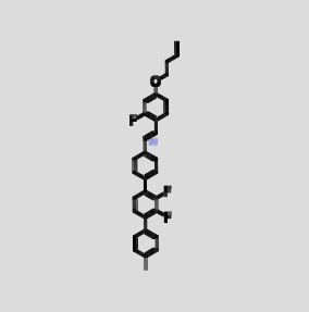 C=CCCOc1ccc(/C=C/c2ccc(-c3ccc(-c4ccc(C)cc4)c(F)c3F)cc2)c(F)c1